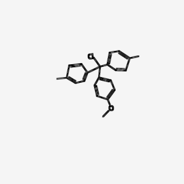 COc1ccc(C(Cl)(c2ccc(C)cc2)c2ccc(C)cc2)cc1